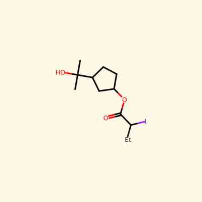 CCC(I)C(=O)OC1CCC(C(C)(C)O)C1